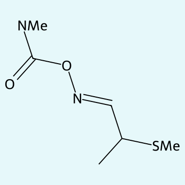 CNC(=O)ON=CC(C)SC